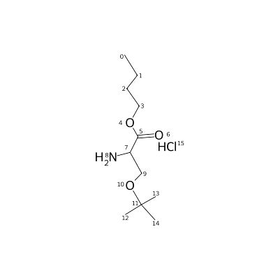 CCCCOC(=O)C(N)COC(C)(C)C.Cl